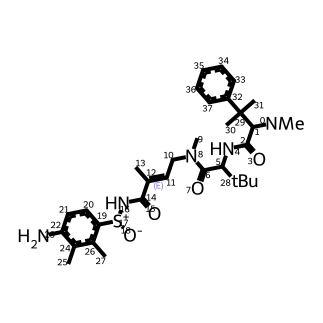 CNC(C(=O)NC(C(=O)N(C)C/C=C(\C)C(=O)N[S+]([O-])c1ccc(N)c(C)c1C)C(C)(C)C)C(C)(C)c1ccccc1